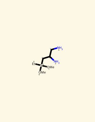 CC[Si](CC(N)CN)(OC)OC